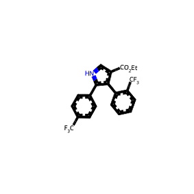 CCOC(=O)c1c[nH]c(-c2ccc(C(F)(F)F)cc2)c1-c1ccccc1C(F)(F)F